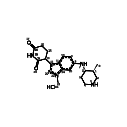 C[C@@H]1CNCC[C@@H]1Nc1ccc2c(C3CCC(=O)NC3=O)nn(C)c2c1.Cl